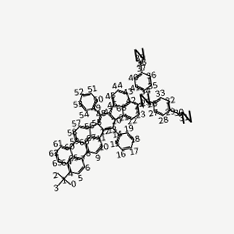 CC(C)(C)c1ccc2c3ccc4c5c(-c6ccccc6)c6c7ccc(N(c8ccc(C#N)cc8)c8ccc(C#N)cc8)c8cccc(c6c(-c6ccccc6)c5c5ccc(c6cccc1c62)c3c54)c87